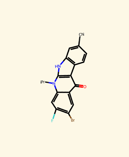 CC(C)n1c2cc(F)c(Br)cc2c(=O)c2c3ccc(C#N)cc3[nH]c21